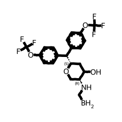 BCN[C@@H]1CO[C@H](C(c2ccc(OC(F)(F)F)cc2)c2ccc(OC(F)(F)F)cc2)CC1O